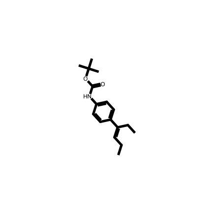 CC/C=C(\CC)c1ccc(NC(=O)OC(C)(C)C)cc1